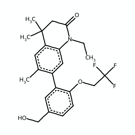 CCN1C(=O)CC(C)(C)c2cc(C)c(-c3cc(CO)ccc3OCC(F)(F)F)cc21